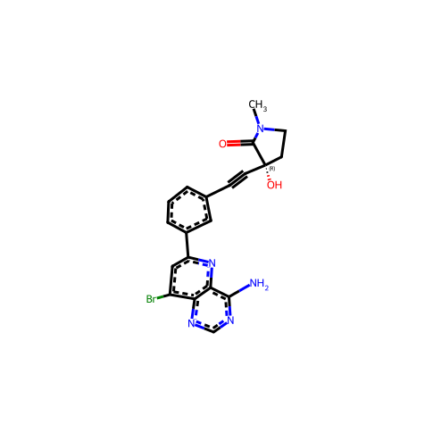 CN1CC[C@@](O)(C#Cc2cccc(-c3cc(Br)c4ncnc(N)c4n3)c2)C1=O